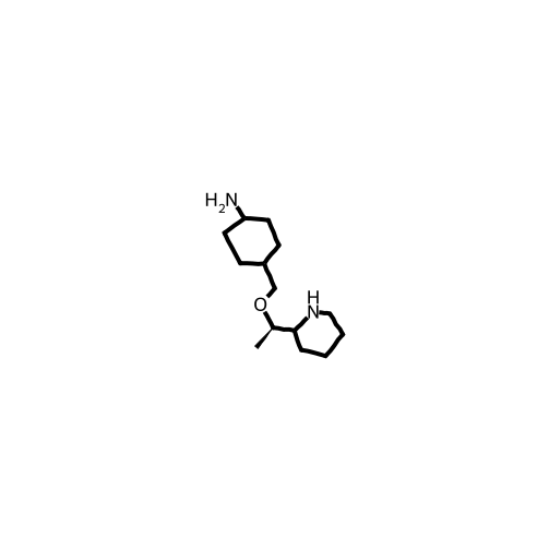 C[C@@H](OCC1CCC(N)CC1)C1CCCCN1